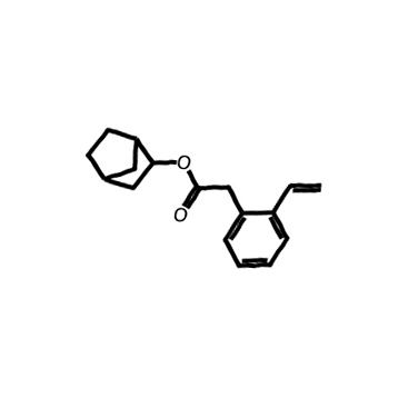 C=Cc1ccccc1CC(=O)OC1CC2CCC1C2